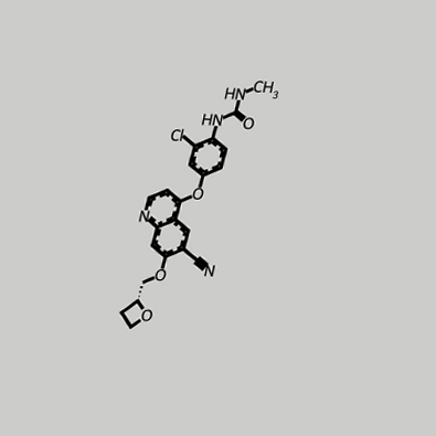 CNC(=O)Nc1ccc(Oc2ccnc3cc(OC[C@H]4CCO4)c(C#N)cc23)cc1Cl